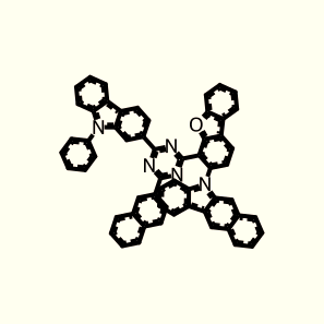 c1ccc(-n2c3ccccc3c3ccc(-c4nc(-c5ccc6ccccc6c5)nc(-c5c(-n6c7ccccc7c7cc8ccccc8cc76)ccc6c5oc5ccccc56)n4)cc32)cc1